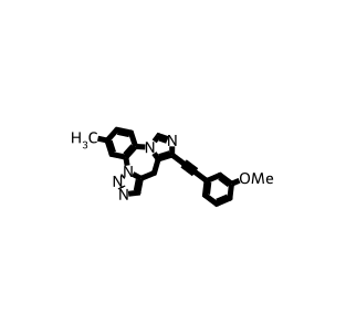 COc1cccc(C#Cc2ncn3c2Cc2cnnn2-c2cc(C)ccc2-3)c1